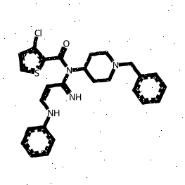 N=C(/C=C\Nc1ccccc1)N(C(=O)c1sccc1Cl)C1CCN(Cc2ccccc2)CC1